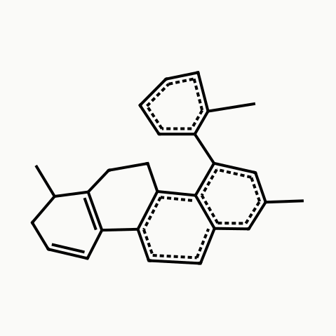 Cc1cc(-c2ccccc2C)c2c3c(ccc2c1)C1=C(CC3)C(C)CC=C1